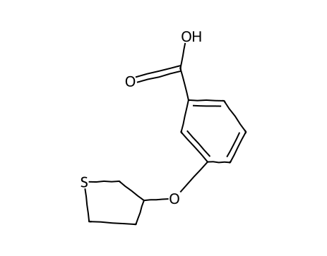 O=C(O)c1cccc(OC2CCSC2)c1